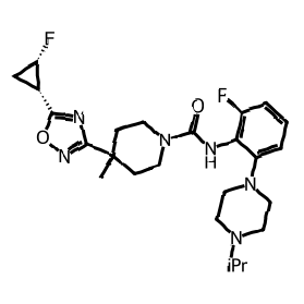 CC(C)N1CCN(c2cccc(F)c2NC(=O)N2CCC(C)(c3noc([C@@H]4C[C@@H]4F)n3)CC2)CC1